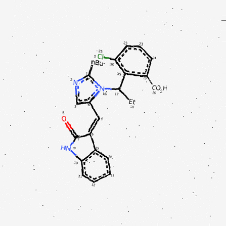 CCCCc1ncc(C=C2C(=O)Nc3ccccc32)n1C(CC)c1c(Cl)cccc1C(=O)O